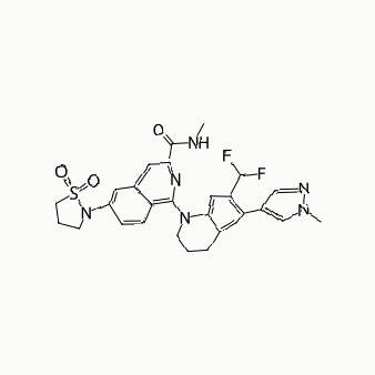 CNC(=O)c1cc2cc(N3CCCS3(=O)=O)ccc2c(N2CCCc3cc(-c4cnn(C)c4)c(C(F)F)cc32)n1